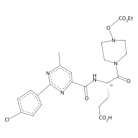 CCOC(=O)ON1CCN(C(=O)[C@H](CCC(=O)O)NC(=O)c2cc(C)nc(-c3ccc(Cl)cc3)n2)CC1